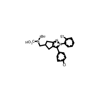 CCc1ccccc1-n1nc2c(c1-c1ccc(Cl)cc1)CC(CN(C(=O)O)C(C)(C)C)C2